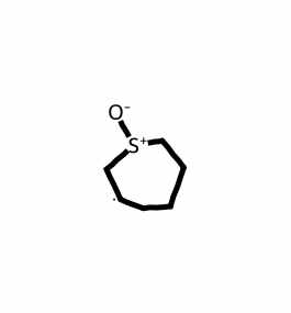 [O-][S+]1C[CH]CCCC1